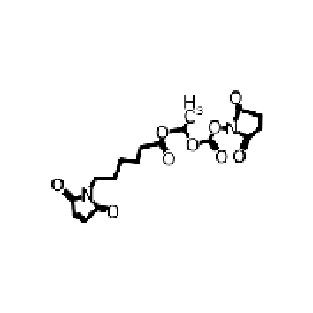 CC(OC(=O)CCCCCN1C(=O)C=CC1=O)OC(=O)ON1C(=O)CCC1=O